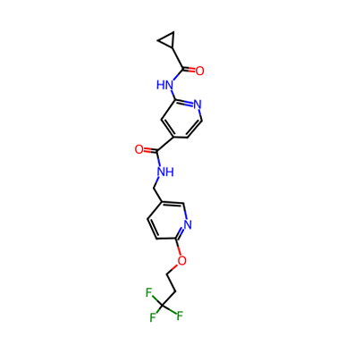 O=C(NCc1ccc(OCCC(F)(F)F)nc1)c1ccnc(NC(=O)C2CC2)c1